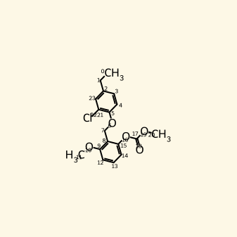 CCc1ccc(OCc2c(OC)cccc2OC(=O)OC)c(Cl)c1